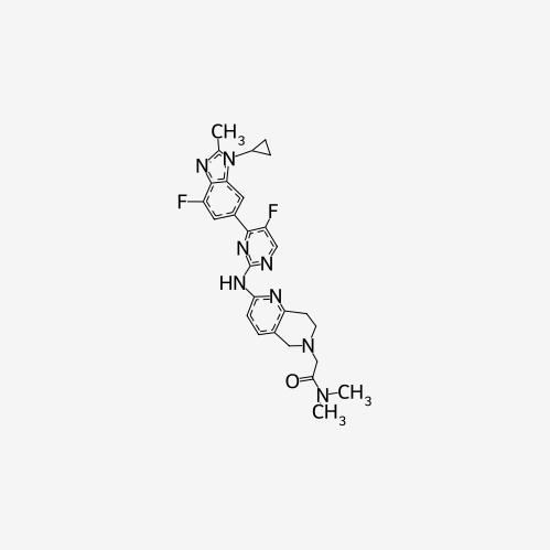 Cc1nc2c(F)cc(-c3nc(Nc4ccc5c(n4)CCN(CC(=O)N(C)C)C5)ncc3F)cc2n1C1CC1